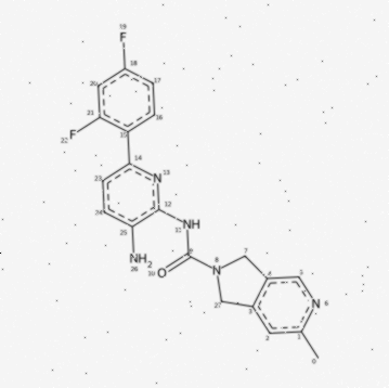 Cc1cc2c(cn1)CN(C(=O)Nc1nc(-c3ccc(F)cc3F)ccc1N)C2